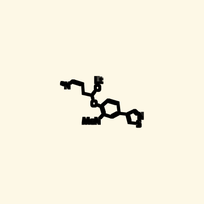 C=N/C=C\CC(OCC)Oc1ccc(-c2cnsc2)cc1NC